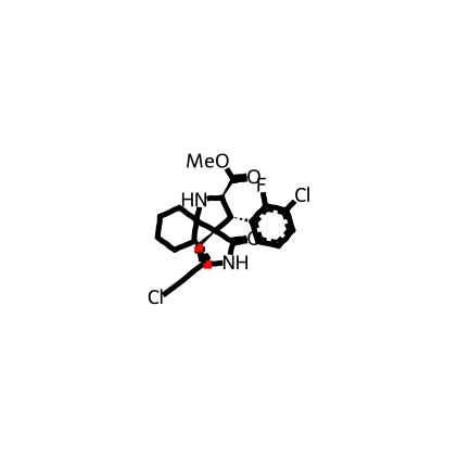 COC(=O)[C@@H]1NC2(CCCCC2)[C@@]2(C(=O)Nc3cc(Cl)ccc32)[C@H]1c1cccc(Cl)c1F